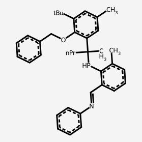 CCCC(C)(Pc1c(C)cccc1/C=N/c1ccccc1)c1cc(C)cc(C(C)(C)C)c1OCc1ccccc1